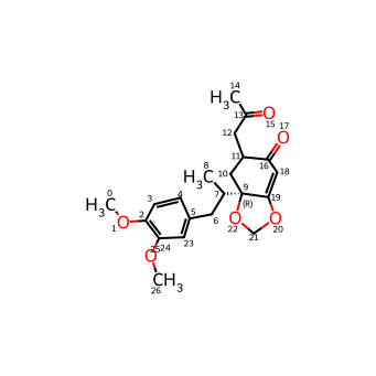 COc1ccc(CC(C)[C@]23CC(CC(C)=O)C(=O)C=C2OCO3)cc1OC